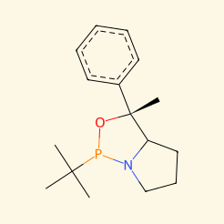 CC(C)(C)P1O[C@](C)(c2ccccc2)C2CCCN21